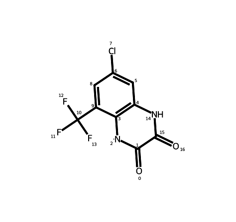 O=C1[N]c2c(cc(Cl)cc2C(F)(F)F)NC1=O